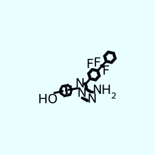 Nc1nccn2c(C34CCC(CO)(CC3)OC4)nc(-c3ccc(C(F)(F)c4ccccc4)c(F)c3)c12